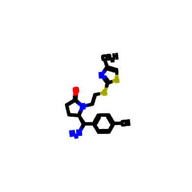 N#Cc1ccc(C(N)[C@H]2CCC(=O)N2CCSc2nc(C(=O)O)cs2)cc1